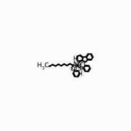 CCCCCCCCCC(=O)[NH][Hf]([Cl])([Cl])([c]1cccc2c1Cc1ccccc1-2)[SiH](c1ccccc1)c1ccccc1